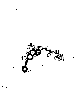 CC(=O)O[C@H]1C[C@@H]2C[C@](O)(C#Cc3ccccc3)CC[C@]2(C)[C@H]2CC[C@]3(C)[C@@H]([C@H](C)CCC(=O)NCCS(=O)(=O)O)CC[C@H]3[C@H]12